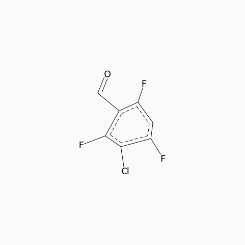 O=Cc1c(F)cc(F)c(Cl)c1F